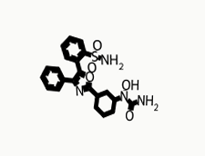 NC(=O)N(O)C1CCCC(c2nc(-c3ccccc3)c(-c3ccccc3S(N)(=O)=O)o2)C1